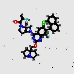 C=C(F)C(=O)N1CCC2[C@H]1CN2c1nc(OCC23CCCN2CCC3)nc2c(F)c(-c3cccc4cccc(Cl)c34)c(Cl)cc12